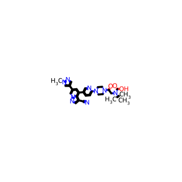 Cn1cc(-c2cc(-c3ccc(N4CCN(C(=O)CN(C(=O)O)C(C)(C)C)CC4)nc3)c3c(C#N)cnn3c2)cn1